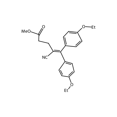 CCOc1ccc(C(=C(C#N)CCC(=O)OC)c2ccc(OCC)cc2)cc1